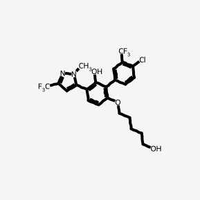 Cn1nc(C(F)(F)F)cc1-c1ccc(OCCCCCO)c(-c2ccc(Cl)c(C(F)(F)F)c2)c1O